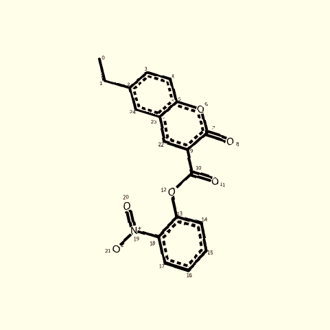 CCc1ccc2oc(=O)c(C(=O)Oc3ccccc3[N+](=O)[O-])cc2c1